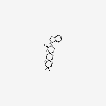 CC1(C)COC2(CCC3(CCN([C@H]4CCc5ccccc54)C(=O)O3)CC2)OC1